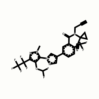 C#CCN(C(=O)c1cc(-c2cnn(-c3c(OC(F)F)c(C(F)(F)C(F)(F)F)nn3C)c2)ccc1C(F)(F)F)C1(C#N)CC1